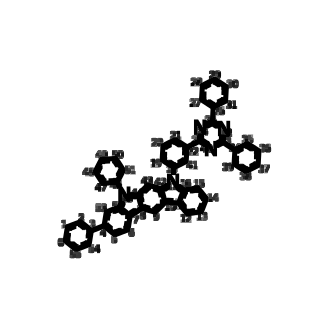 c1ccc(-c2ccc3c4cc5c6ccccc6n(-c6cccc(-c7nc(-c8ccccc8)nc(-c8ccccc8)n7)c6)c5cc4n(-c4ccccc4)c3c2)cc1